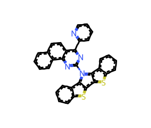 c1ccc(-c2nc(-n3c4c5ccccc5sc4c4sc5ccccc5c43)nc3c2ccc2ccccc23)nc1